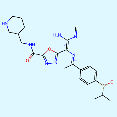 C=N/C(N)=C(\N=C(/C)c1ccc([S+]([O-])C(C)C)cc1)c1nnc(C(=O)NCC2CCCNC2)o1